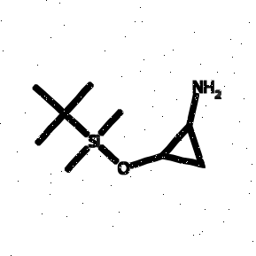 CC(C)(C)[Si](C)(C)OC1CC1N